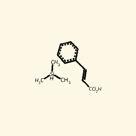 C[SiH](C)C.O=C(O)C=Cc1ccccc1